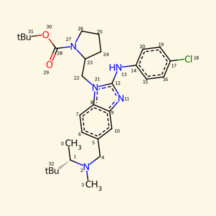 C[C@H](N(C)Cc1ccc2c(c1)nc(Nc1ccc(Cl)cc1)n2CC1CCCN1C(=O)OC(C)(C)C)C(C)(C)C